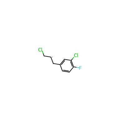 Fc1ccc(C[CH]CCl)cc1Cl